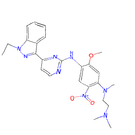 CCn1nc(-c2ccnc(Nc3cc([N+](=O)[O-])c(N(C)CCN(C)C)cc3OC)n2)c2ccccc21